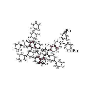 CC(C)(C)c1ccc(N(c2ccc(-c3ccc4c(c3)N(c3c(-c5ccccc5)cc(-c5ccccc5)cc3-c3ccccc3)c3cc(C(C)(C)C)cc5c3B4c3ccc(N(c4ccc(-c6ccccc6)cc4)c4ccc(-c6ccccc6)cc4)cc3N5c3c(-c4ccccc4)cc(-c4ccccc4)cc3-c3ccccc3)cc2)c2ccc(C(C)(C)C)cc2)cc1